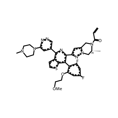 C=CC(=O)N1Cc2cc(-c3nc(-c4cnnc(N5CCN(C)CC5)c4)c4ccsc4c3-c3c(F)cc(F)cc3OCCOC)nn2C[C@H]1C